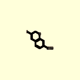 O=Cc1ccc2c(c1)OCC(I)=C2